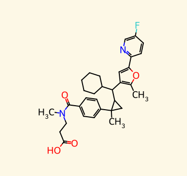 Cc1oc(-c2ccc(F)cn2)cc1C(C1CCCCC1)C1CC1(C)c1ccc(C(=O)N(C)CCC(=O)O)cc1